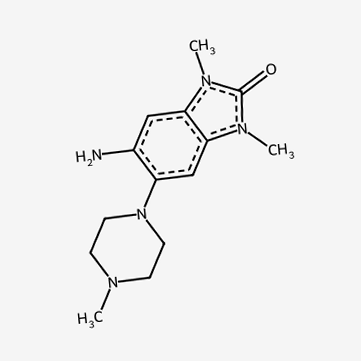 CN1CCN(c2cc3c(cc2N)n(C)c(=O)n3C)CC1